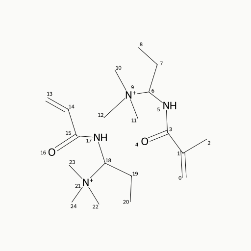 C=C(C)C(=O)NC(CC)[N+](C)(C)C.C=CC(=O)NC(CC)[N+](C)(C)C